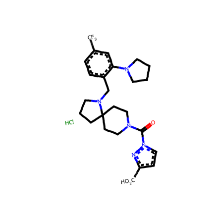 Cl.O=C(O)c1ccn(C(=O)N2CCC3(CCCN3Cc3ccc(C(F)(F)F)cc3N3CCCC3)CC2)n1